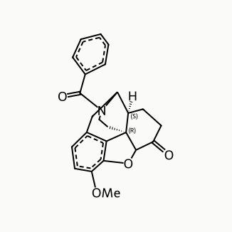 COc1ccc2c3c1OC1C(=O)CC[C@@H]4C(C2)N(C(=O)c2ccccc2)CC[C@@]314